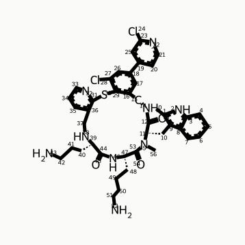 Cc1[nH]c2ccccc2c1C[C@H]1C(=O)NCc2cc(-c3ccnc(Cl)c3)cc(Cl)c2Sc2ncccc2CN[C@@H](CCCN)C(=O)N[C@@H](CCCCN)C(=O)N1C